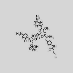 CCCCCC(=O)Nc1ccc(CC(N)C(=O)OC2C(COP(=O)(O)OC3CC(n4ccc(N)nc4=O)OC3COP(=O)(O)O)OC(n3cnc4c(N)ncnc43)C2O)cc1